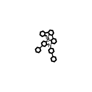 c1ccc(-c2ccc(N3c4cc(-c5ccccc5)ccc4B4c5c(cccc53)-c3cccc5c6ccccc6n4c35)cc2)cc1